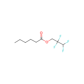 CCCCCC(=O)OCC(F)(F)C(F)F